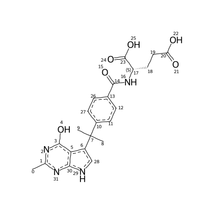 Cc1nc(O)c2c(C(C)(C)c3ccc(C(=O)N[C@@H](CCC(=O)O)C(=O)O)cc3)c[nH]c2n1